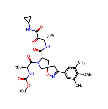 CCC[C@H](NC(=O)[C@@H]1C[C@]2(CC(c3cc(C)c(OC)c(C)c3)=NO2)CN1C(=O)[C@@H](NC(=O)OC(C)(C)C)C(C)(C)C)C(=O)C(=O)NC1CC1